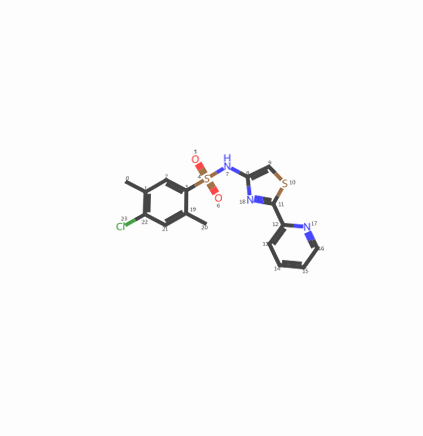 Cc1cc(S(=O)(=O)Nc2csc(-c3ccccn3)n2)c(C)cc1Cl